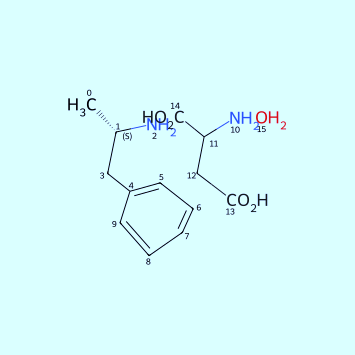 C[C@H](N)Cc1ccccc1.NC(CC(=O)O)C(=O)O.O